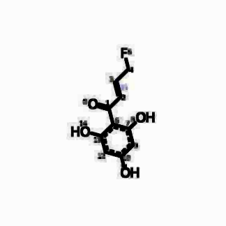 O=C(/C=C/CF)c1c(O)cc(O)cc1O